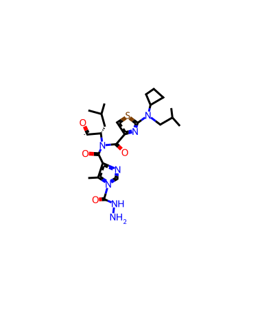 Cc1c(C(=O)N(C(=O)c2csc(N(CC(C)C)C3CCC3)n2)[C@H]([C]=O)CC(C)C)ncn1C(=O)NN